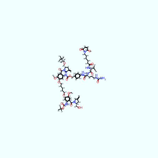 C=C1C[C@@H](CO[Si](C)(C)C(C)(C)C)N(C(=O)c2cc(OC)c(OCCCCCOc3cc(NC(=O)OC(C)(C)C)c(C(=O)N4CC(=C)C[C@H]4CO)cc3OC)cc2NC(=O)OCc2ccc(NC(=O)[C@H](CCCNC(N)=O)NC(=O)[C@@H](NC(=O)CCCCCN3C(=O)C=CC3=O)C(C)C)cc2)C1